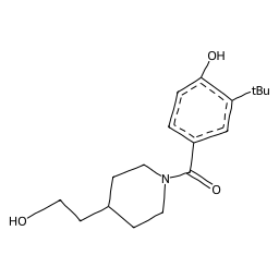 CC(C)(C)c1cc(C(=O)N2CCC(CCO)CC2)ccc1O